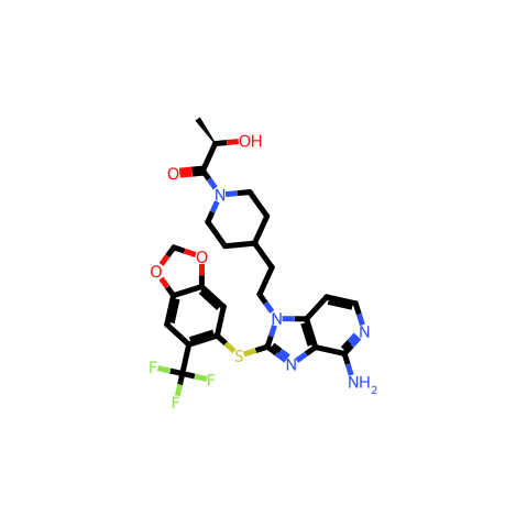 C[C@@H](O)C(=O)N1CCC(CCn2c(Sc3cc4c(cc3C(F)(F)F)OCO4)nc3c(N)nccc32)CC1